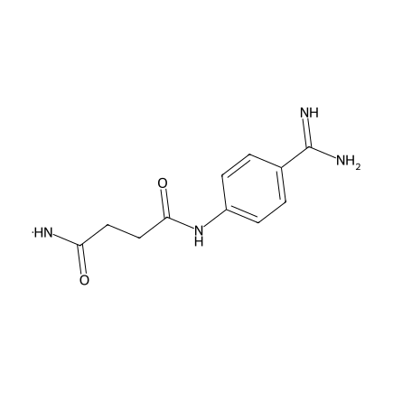 [NH]C(=O)CCC(=O)Nc1ccc(C(=N)N)cc1